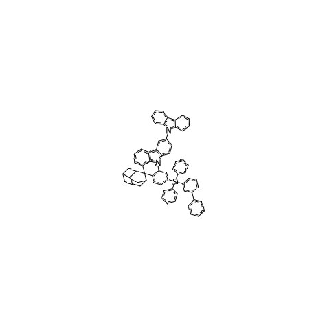 c1ccc(-c2cccc([Si](c3ccccc3)(c3ccccc3)c3ccc4c(c3)-n3c5ccc(-n6c7ccccc7c7ccccc76)cc5c5cccc(c53)C43C4CC5CC(C4)CC3C5)c2)cc1